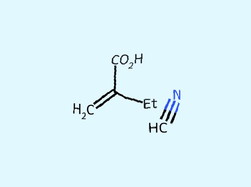 C#N.C=C(CC)C(=O)O